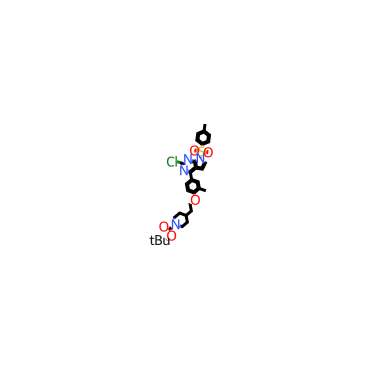 Cc1ccc(S(=O)(=O)n2ccc3c(-c4ccc(OCCC5CCN(C(=O)OC(C)(C)C)CC5)c(C)c4)nc(Cl)nc32)cc1